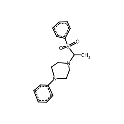 CC(N1CCN(c2ccccc2)CC1)S(=O)(=O)c1ccccc1